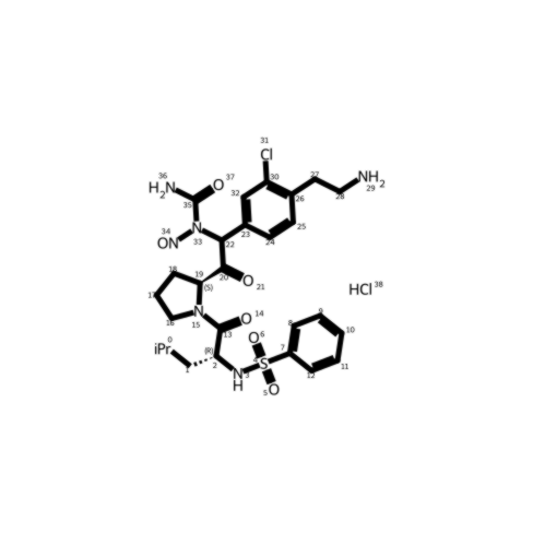 CC(C)C[C@@H](NS(=O)(=O)c1ccccc1)C(=O)N1CCC[C@H]1C(=O)C(c1ccc(CCN)c(Cl)c1)N(N=O)C(N)=O.Cl